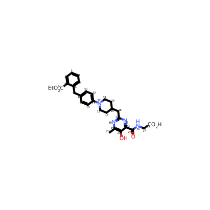 CCOC(=O)c1ccccc1Cc1ccc(N2CCC(Cc3nc(C)c(O)c(C(=O)NCC(=O)O)n3)CC2)cc1